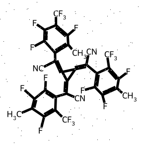 Cc1c(F)c(F)c(/C(C#N)=C2\C(=C(C#N)c3c(C)c(F)c(C(F)(F)F)c(F)c3F)\C2=C(/C#N)c2c(F)c(F)c(C)c(F)c2C(F)(F)F)c(C(F)(F)F)c1F